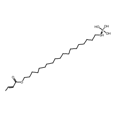 CC=CC(=O)OCCCCCCCCCCCCCCCCCCC[SH]=P(O)(O)O